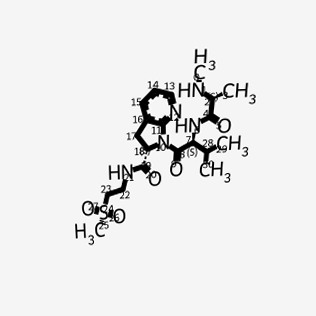 CN[C@@H](C)C(=O)N[C@H](C(=O)N1c2ncccc2C[C@H]1C(=O)NCCS(C)(=O)=O)C(C)C